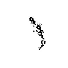 COc1cc(-c2csc3c(/C=C/CN4CCN(CCCN(C)C)CC4)cnc(N)c23)ccc1NC(=O)c1cc2ccccc2n1C